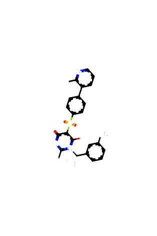 CCCCc1nc(=O)c(S(=O)(=O)c2ccc(-c3cccnc3C)cc2)c(O)n1[C@H](c1cccc(C#N)c1)C(C)C